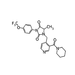 CC1C(=O)N(c2ccc(OC(F)(F)F)cc2)C(=O)N1Cc1ccncc1C(=O)N1CCCCC1